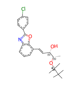 C[C@H](O[Si](C)(C)C(C)(C)C)[C@@H](O)C=Cc1cccc2nc(-c3ccc(Cl)cc3)oc12